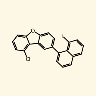 Clc1cccc2oc3ccc(-c4cccc5cccc(I)c45)cc3c12